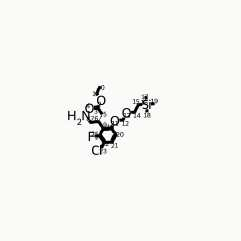 CCOC(=O)C[C@@H](CN)c1c(OCOCC[Si](C)(C)C)ccc(Cl)c1F